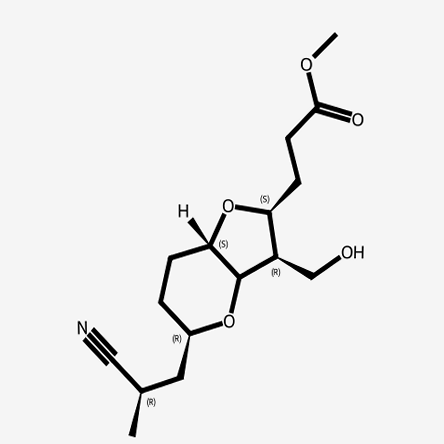 COC(=O)CC[C@@H]1O[C@H]2CC[C@H](C[C@@H](C)C#N)OC2[C@@H]1CO